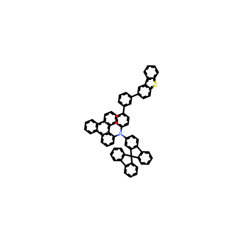 c1cc(-c2ccc(N(c3ccc4c(c3)C3(c5ccccc5-c5ccccc53)c3ccccc3-4)c3cccc4c5ccccc5c5ccccc5c34)cc2)cc(-c2ccc3sc4ccccc4c3c2)c1